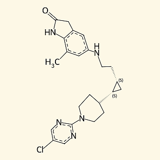 Cc1cc(NCC[C@@H]2C[C@@H]2C2CCN(c3ncc(Cl)cn3)CC2)cc2c1NC(=O)C2